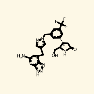 Nc1cc(Cc2cnn(Cc3cc([C@@H]4CC(=O)NC4CO)cc(C(F)(F)F)c3)c2)c2nn[nH]c2n1